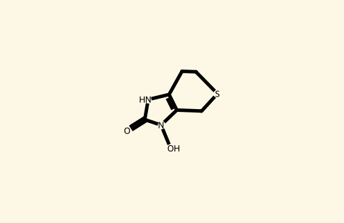 O=c1[nH]c2c(n1O)CSCC2